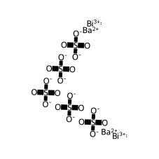 O=S(=O)([O-])[O-].O=S(=O)([O-])[O-].O=S(=O)([O-])[O-].O=S(=O)([O-])[O-].O=S(=O)([O-])[O-].[Ba+2].[Ba+2].[Bi+3].[Bi+3]